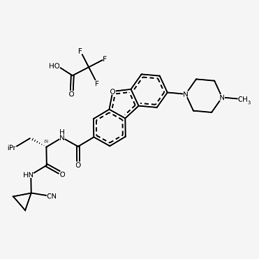 CC(C)C[C@H](NC(=O)c1ccc2c(c1)oc1ccc(N3CCN(C)CC3)cc12)C(=O)NC1(C#N)CC1.O=C(O)C(F)(F)F